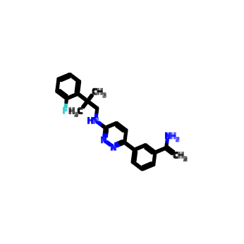 C=C(N)c1cccc(-c2ccc(NCC(C)(C)c3ccccc3F)nn2)c1